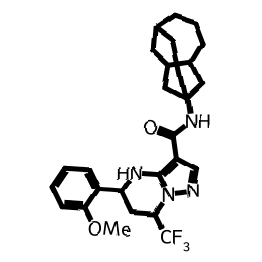 COc1ccccc1C1CC(C(F)(F)F)n2ncc(C(=O)NC34CC5CCCC(C3)C(C5)C4)c2N1